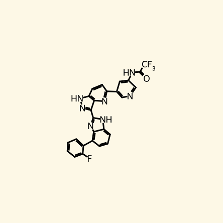 O=C(Nc1cncc(-c2ccc3[nH]nc(-c4nc5c(-c6ccccc6F)cccc5[nH]4)c3n2)c1)C(F)(F)F